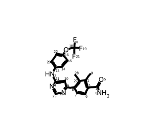 Cc1c(C(N)=O)ccc(-c2cc(Nc3ccc(OC(F)(F)F)cc3)ncn2)c1C